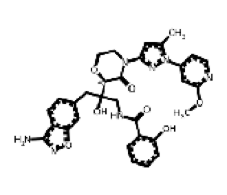 COc1cc(-n2nc(N3CCO[C@H](C(O)(CNC(=O)c4ccccc4O)Cc4ccc5c(N)noc5c4)C3=O)cc2C)ccn1